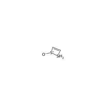 [O-][S+]1C=C[SiH2]1